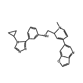 CN1C=CC(c2cnc3ccoc3c2)=CC1CNc1cccc(-c2nncn2C2CC2)c1